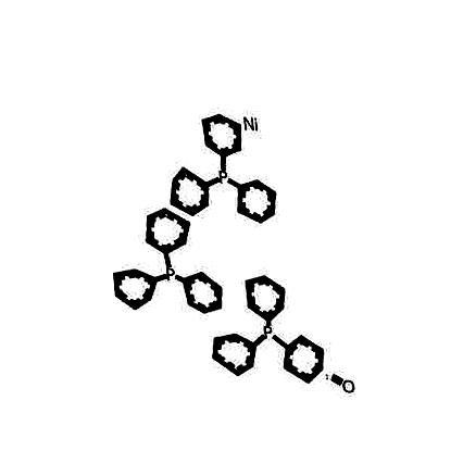 [C]=O.[Ni].c1ccc(P(c2ccccc2)c2ccccc2)cc1.c1ccc(P(c2ccccc2)c2ccccc2)cc1.c1ccc(P(c2ccccc2)c2ccccc2)cc1